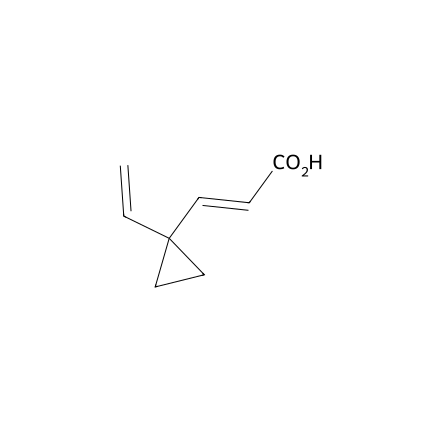 C=CC1(C=CC(=O)O)CC1